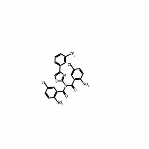 O=C(c1cc(Cl)ccc1[N+](=O)[O-])N(C(=O)c1cc(Cl)ccc1[N+](=O)[O-])c1nc(-c2cccc(C(F)(F)F)c2)cs1